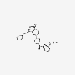 CCCOc1cccc(C(=O)N2CCN(c3ccc([N+](=O)[O-])c(NCCc4ccccc4)c3)CC2)c1